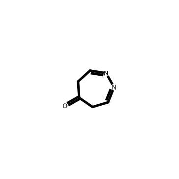 O=C1C[C]=NN=CC1